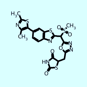 Cc1nc(C)c(-c2ccc3nc(C(c4nnc(CC5SC(=O)NC5=O)o4)S(C)(=O)=O)sc3c2)s1